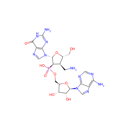 NC[C@H]1[C@@H](P(=O)(O)OC[C@H]2O[C@@H](n3cnc4c(N)ncnc43)[C@H](O)[C@@H]2O)[C@H](n2cnc3c(=O)[nH]c(N)nc32)O[C@@H]1CO